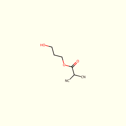 N#CC(C#N)C(=O)OCCCO